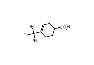 [2H]C([2H])([2H])C1=CC[C@@H](C(=O)O)CC1